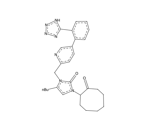 CCCCc1cn(C2CCCCCCC2=O)c(=O)n1Cc1ccc(-c2ccccc2-c2nnn[nH]2)cn1